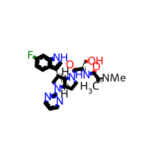 CN[C@@H](C)C(=O)N[C@@H](CO)C(=O)N1CC[C@@H]2[C@H]1[C@@H](c1c[nH]c3cc(F)ccc13)CN2c1ncccn1